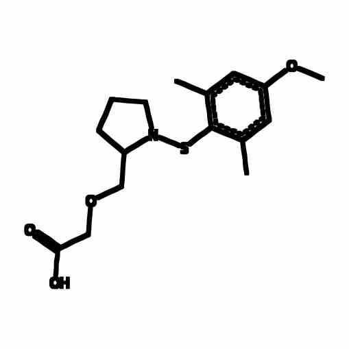 COc1cc(C)c(SN2CCCC2COCC(=O)O)c(C)c1